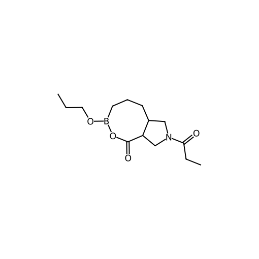 CCCOB1CCCC2CN(C(=O)CC)CC2C(=O)O1